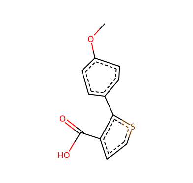 COc1ccc(-c2sccc2C(=O)O)cc1